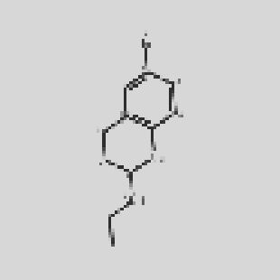 CCNC1CCc2cc(Br)ccc2O1